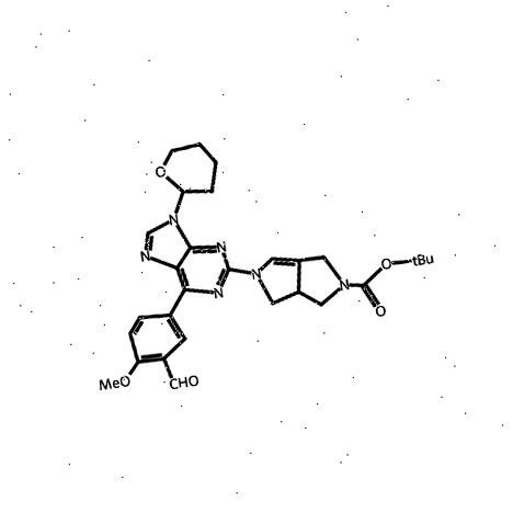 COc1ccc(-c2nc(N3C=C4CN(C(=O)OC(C)(C)C)CC4C3)nc3c2ncn3C2CCCCO2)cc1C=O